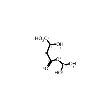 O=C(CC(O)C(=O)O)OP(O)O